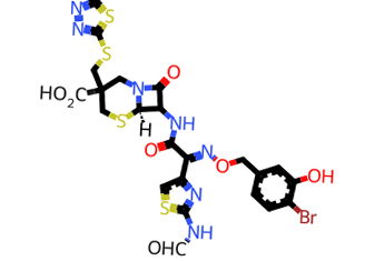 O=CNc1nc(C(=NOCc2ccc(Br)c(O)c2)C(=O)NC2C(=O)N3CC(CSc4nncs4)(C(=O)O)CS[C@H]23)cs1